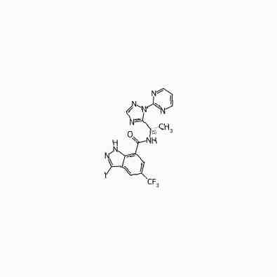 C[C@H](NC(=O)c1cc(C(F)(F)F)cc2c(I)n[nH]c12)c1ncnn1-c1ncccn1